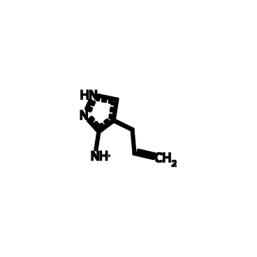 C=CCc1c[nH]nc1[NH]